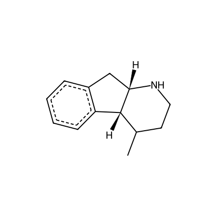 CC1CCN[C@H]2Cc3ccccc3[C@@H]12